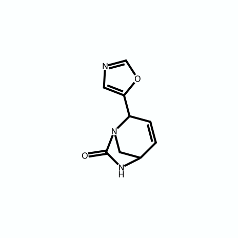 O=C1NC2C=CC(c3cnco3)N1C2